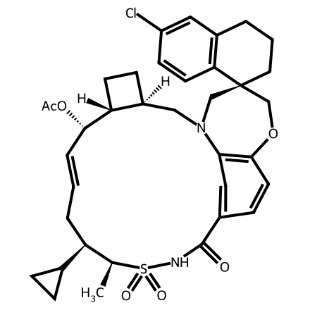 CC(=O)O[C@H]1/C=C/C[C@H](C2CC2)[C@H](C)S(=O)(=O)NC(=O)c2ccc3c(c2)N(C[C@@H]2CC[C@H]21)C[C@@]1(CCCc2cc(Cl)ccc21)CO3